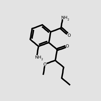 CCCC(OC)C(=O)c1c(N)cccc1C(N)=O